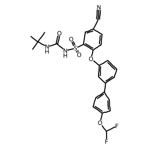 CC(C)(C)NC(=O)NS(=O)(=O)c1cc(C#N)ccc1Oc1cccc(-c2ccc(OC(F)F)cc2)c1